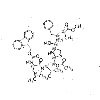 CCC[C@@H](NC(=O)OCC1c2ccccc2-c2ccccc21)C(=O)N(C)[C@H](C[C@@H](OC(C)=O)[C@H]1N[C@@H]([C@@H](O)N[C@@H](Cc2ccccc2)C[C@H](C)C(=O)OC)CS1)C(C)C